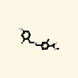 COC(=O)c1ccc(CNCc2ccc(O)cc2F)cc1C